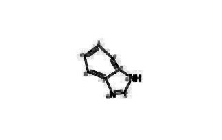 [c]1ccc2[nH][c]nc2c1